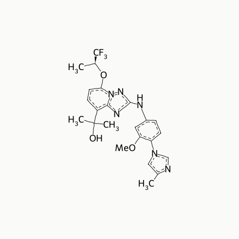 COc1cc(Nc2nc3c(C(C)(C)O)ccc(O[C@@H](C)C(F)(F)F)n3n2)ccc1-n1cnc(C)c1